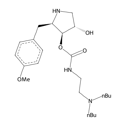 CCCCN(CCCC)CCNC(=O)O[C@@H]1[C@@H](O)CN[C@@H]1Cc1ccc(OC)cc1